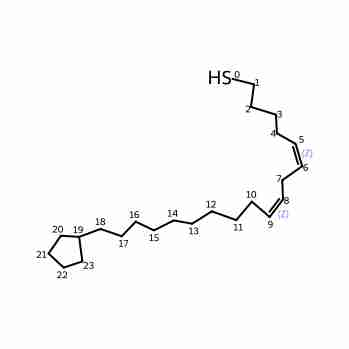 SCCCC/C=C\C/C=C\CCCCCCCCCC1CCCC1